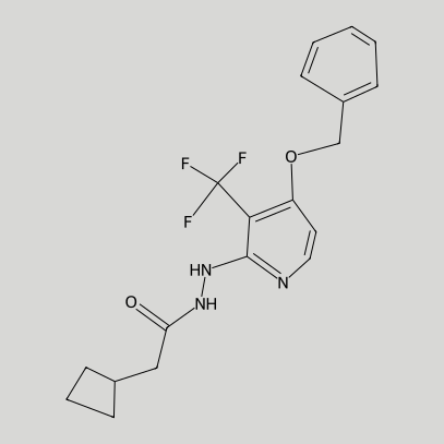 O=C(CC1CCC1)NNc1nccc(OCc2ccccc2)c1C(F)(F)F